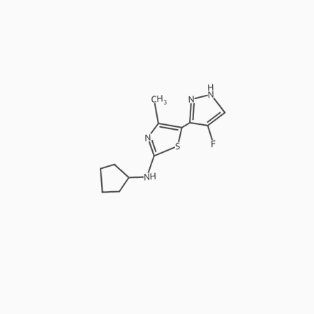 Cc1nc(NC2CCCC2)sc1-c1n[nH]cc1F